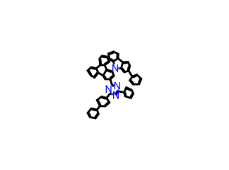 c1ccc(-c2ccc(-c3nc(-c4ccccc4)nc(-c4cc(-n5c6ccccc6c6ccc(-c7ccccc7)cc65)c5c6ccccc6c6ccccc6c5c4)n3)cc2)cc1